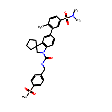 CNS(=O)(=O)c1ccc(CNC(=O)N2CC3(CCCC3)c3cc(-c4cc(S(=O)(=O)N(C)C)ccc4C)ccc32)cc1